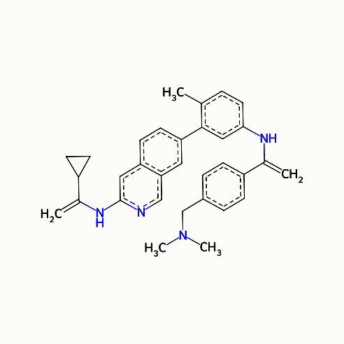 C=C(Nc1ccc(C)c(-c2ccc3cc(NC(=C)C4CC4)ncc3c2)c1)c1ccc(CN(C)C)cc1